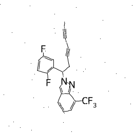 CC#CC#CCC(c1cc(F)ccc1F)n1cc2cccc(C(F)(F)F)c2n1